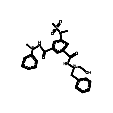 C[C@@H](NC(=O)c1cc(C(=O)N[C@H](CO)Cc2ccccc2)cc(N(C)S(C)(=O)=O)c1)c1ccccc1